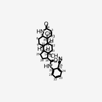 C[C@]12CCC(=O)NC1CC[C@@H]1[C@H]2CC[C@]2(C)C(C(=O)Nc3ccccc3C#N)CC[C@@H]12